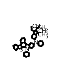 C=CC1=C(/C=C\C)c2ccc(N(c3ccccc3)c3ccc4c(c3)c3c5ccccc5c5c6ccccc6sc5c3n4-c3ccccc3)cc2C1(C)C